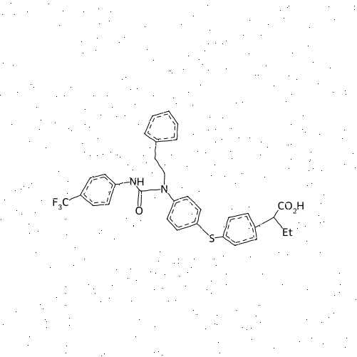 CCC(C(=O)O)c1ccc(Sc2ccc(N(CCc3ccccc3)C(=O)Nc3ccc(C(F)(F)F)cc3)cc2)cc1